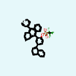 O=S(=O)(Oc1ccc(-c2cccc3ccccc23)cc1-c1c2ccccc2c(-c2ccccc2)c2ccccc12)C(F)(F)F